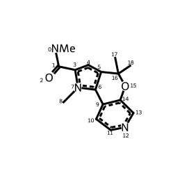 CNC(=O)c1cc2c(n1C)-c1ccncc1OC2(C)C